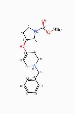 CC(C)(C)OC(=O)N1CC[C@H](OC2=CCN(Cc3ccccc3)CC2)C1